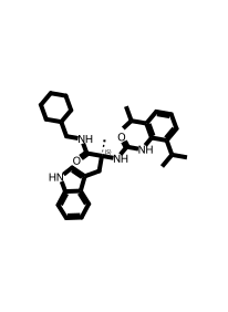 CC(C)c1cccc(C(C)C)c1NC(=O)N[C@@](C)(Cc1c[nH]c2ccccc12)C(=O)NCC1CCCCC1